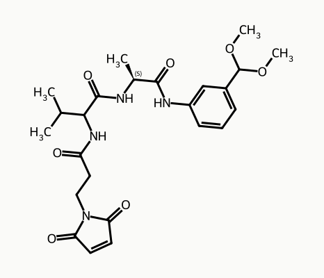 COC(OC)c1cccc(NC(=O)[C@H](C)NC(=O)C(NC(=O)CCN2C(=O)C=CC2=O)C(C)C)c1